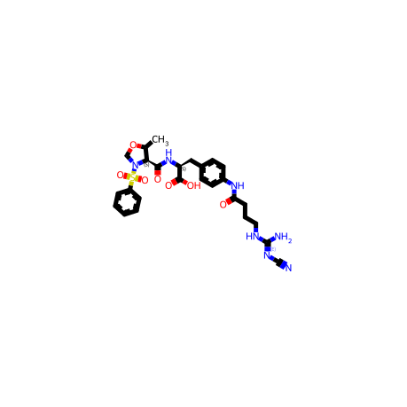 CC1OCN(S(=O)(=O)c2ccccc2)[C@@H]1C(=O)N[C@@H](Cc1ccc(NC(=O)CCCN/C(N)=N/C#N)cc1)C(=O)O